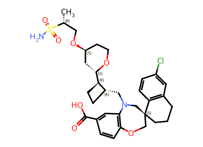 C[C@H](CO[C@H]1CCO[C@H]([C@@H]2CC[C@H]2CN2C[C@@]3(CCCc4cc(Cl)ccc43)COc3ccc(C(=O)O)cc32)C1)S(N)(=O)=O